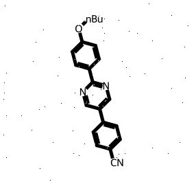 CCCCOc1ccc(-c2ncc(-c3ccc(C#N)cc3)cn2)cc1